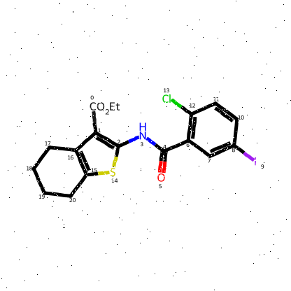 CCOC(=O)c1c(NC(=O)c2cc(I)ccc2Cl)sc2c1CCCC2